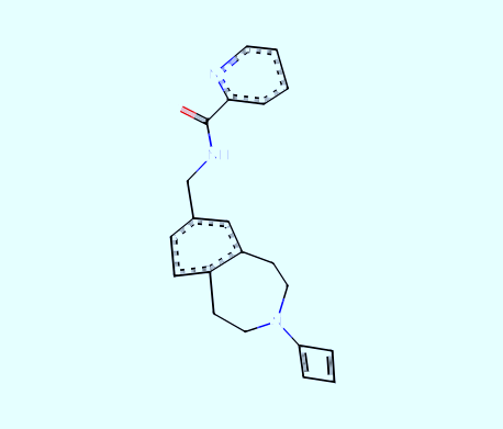 O=C(NCc1ccc2c(c1)CCN(C1=CC=C1)CC2)c1ccccn1